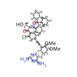 COc1cc(Cc2cnc(N)nc2N)cc(C#Cc2ccc(C(=O)C(=NOC(c3ccccc3)(c3ccccc3)c3ccccc3)C(=O)O)c(Cl)c2)c1OC